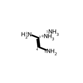 N.N.N/C=C/N